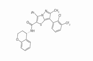 Cc1nn2c(C(C)C)c(C(=O)N[C@H]3CCOc4ccccc43)sc2c1-c1cccc(C(F)(F)F)c1Cl